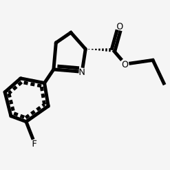 CCOC(=O)[C@H]1CCC(c2cccc(F)c2)=N1